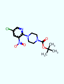 CC(C)(C)OC(=O)N1CCN(c2ncc(Cl)cc2[N+](=O)[O-])CC1